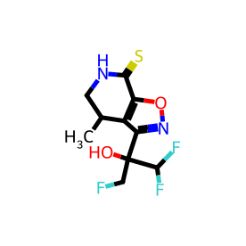 CC1CNC(=S)c2onc(C(O)(CF)C(F)F)c21